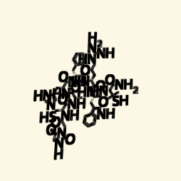 C[C@@H](NC(=O)[C@H](CS)NC(=O)CN1C(=O)CNC1=O)C(=O)N[C@@H](Cc1cnc[nH]1)C(=O)N[C@H](Cc1ccccc1)C(=O)N[C@@H](CCCNC(=N)N)C(=O)N[C@@H](Cc1c[nH]c2ccccc12)C(=O)N[C@H](C(N)=O)C(C)(C)S